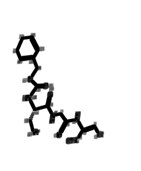 CC/C=C(\C=O)NC(=O)CNC(=O)[C@H](CC(C)C)NC(=O)OCC1=CCCC=C1